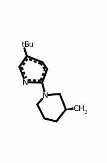 C[C@H]1CCCN(c2ccc(C(C)(C)C)cn2)C1